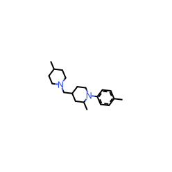 Cc1ccc(N2CCC(CN3CCC(C)CC3)CC2C)cc1